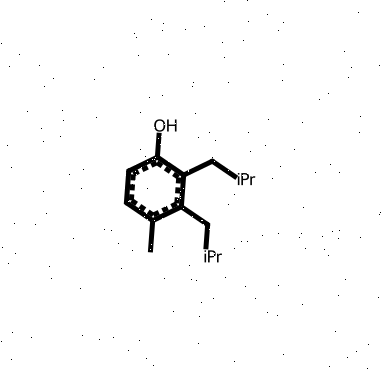 Cc1ccc(O)c(CC(C)C)c1CC(C)C